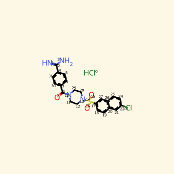 Cl.N=C(N)c1ccc(C(=O)N2CCN(S(=O)(=O)c3ccc4cc(Cl)ccc4c3)CC2)cc1